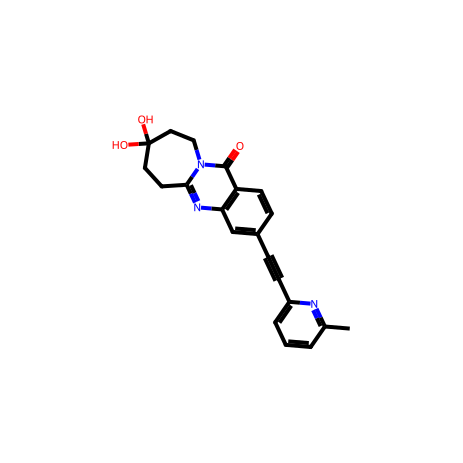 Cc1cccc(C#Cc2ccc3c(=O)n4c(nc3c2)CCC(O)(O)CC4)n1